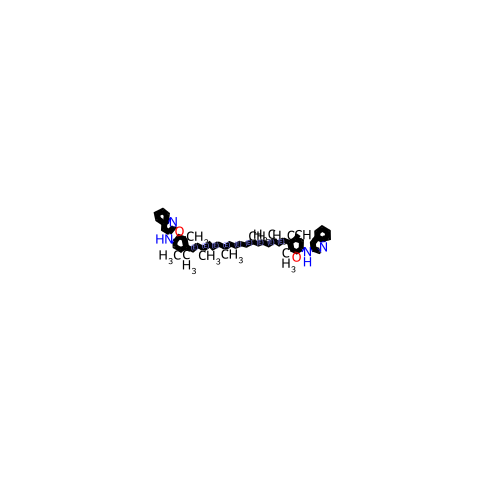 CC1=C(/C=C/C(C)=C/C=C/C(C)=C/C=C/C=C(C)/C=C/C=C(C)/C=C/C2=C(C)C(=O)C(Nc3cnc4ccccc4c3)CC2(C)C)C(C)(C)CC(Nc2cnc3ccccc3c2)C1=O